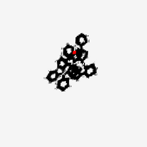 c1ccc(-c2ccc(-n3c4ccccc4c4cccc(-n5c6ccccc6c6cccc([Si](c7ccccc7)(c7ccccc7)c7ccccc7)c65)c43)cc2-c2ccccc2)cc1